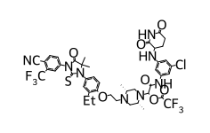 CCc1cc(N2C(=S)N(c3ccc(C#N)c(C(F)(F)F)c3)C(=O)C2(C)C)ccc1OCCN1C[C@@H](C)N(C(OC(=O)C(F)(F)F)C(=O)Nc2cc(Cl)cc(NC3CCC(=O)NC3=O)c2)C[C@H]1C